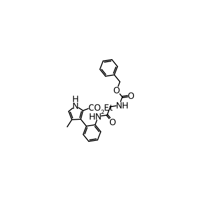 CCOC(=O)c1[nH]cc(C)c1-c1ccccc1NC(=O)CNC(=O)OCc1ccccc1